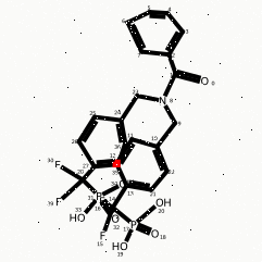 O=C(c1ccccc1)N(Cc1ccc(C(F)(F)P(=O)(O)O)cc1)Cc1ccc(C(F)(F)P(=O)(O)O)cc1